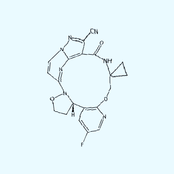 N#Cc1nn2ccc3nc2c1C(=O)NC1(CC1)COc1ncc(F)cc1[C@@H]1CCON31